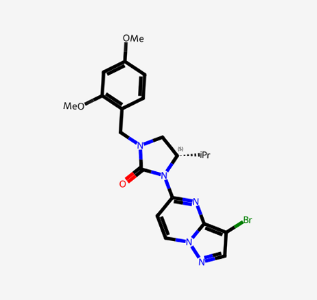 COc1ccc(CN2C[C@H](C(C)C)N(c3ccn4ncc(Br)c4n3)C2=O)c(OC)c1